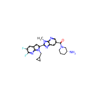 Cn1c(-c2cc3cc(F)c(F)nc3n2CC2CC2)nc2cc(C(=O)N3CCC[C@@H](N)C3)cnc21